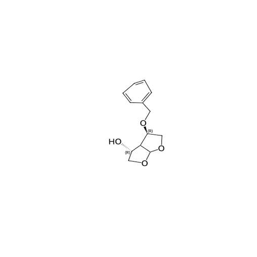 O[C@H]1COC2OC[C@H](OCc3ccccc3)C21